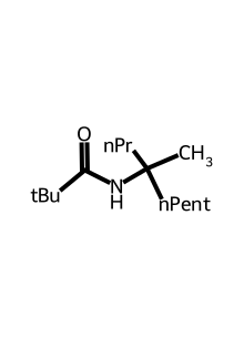 CCCCCC(C)(CCC)NC(=O)C(C)(C)C